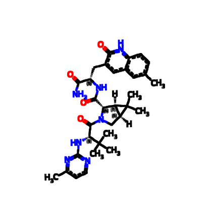 Cc1ccc2[nH]c(=O)c(C[C@H](NC(=O)[C@@H]3[C@@H]4[C@H](CN3C(=O)[C@@H](Nc3nccc(C)n3)C(C)(C)C)C4(C)C)C(N)=O)cc2c1